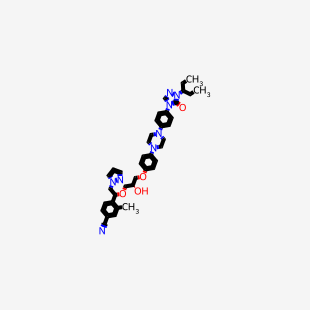 CCC(CC)n1ncn(-c2ccc(N3CCN(c4ccc(OC[C@H](O)COC(Cn5cccn5)c5ccc(C#N)cc5C)cc4)CC3)cc2)c1=O